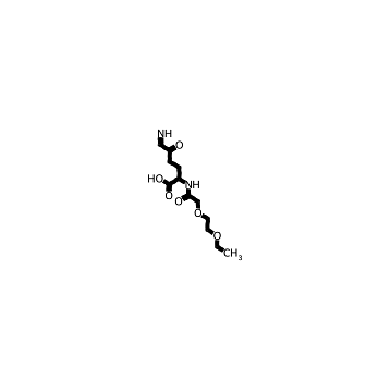 CCOCCOCC(=O)NC(CCC(=O)C=N)C(=O)O